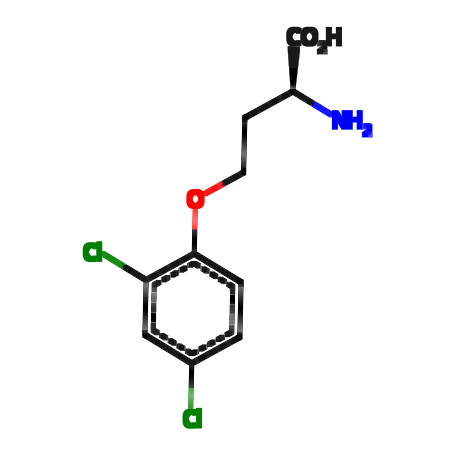 N[C@@H](CCOc1ccc(Cl)cc1Cl)C(=O)O